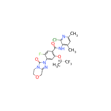 Cc1cc(C)c(NC(=O)c2cc(F)c(-n3nc4n(c3=O)CCOC4)cc2O[C@@H](C)C(F)(F)F)c(Cl)n1